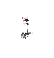 COc1cc(/C=C\c2cc(OC)c(OCCCCCCCCCCOc3ccc(C4NC(=O)c5cc(Cl)ccc5N4)cc3CO)c(OC)c2)cc(CO)c1CO